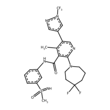 Cc1c(-c2cnn(C(F)(F)F)c2)cnc(N2CCCC(F)(F)CC2)c1C(=O)Nc1cccc(S(C)(=N)=O)c1